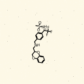 CS(=O)(=O)N[C@@H](c1ccc(CNCC2COc3ccccc3O2)cc1)C(F)(F)F